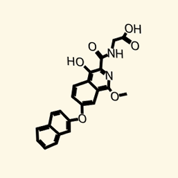 COc1nc(C(=O)NCC(=O)O)c(O)c2ccc(Oc3ccc4ccccc4c3)cc12